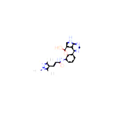 Cc1nn(C)c(C)c1/C=C/C(=O)Nc1cccc(-c2ncnc3[nH]cc(C(=O)O)c23)c1